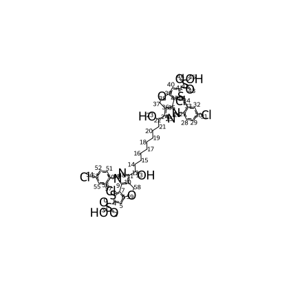 O=S(=O)(O)c1cc2c(s1)-c1c(c(C(O)CCCCCCCCC(O)c3nn(-c4ccc(Cl)cc4Cl)c4c3COc3cc(S(=O)(=O)O)sc3-4)nn1-c1ccc(Cl)cc1Cl)CO2